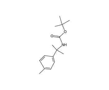 Cc1ccc(C(C)(C)NC(=O)OC(C)(C)C)cc1